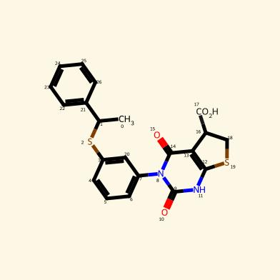 CC(Sc1cccc(-n2c(=O)[nH]c3c(c2=O)C(C(=O)O)CS3)c1)c1ccccc1